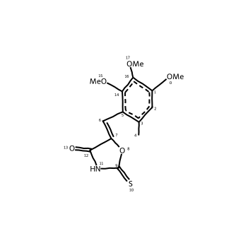 COc1cc(C)c(C=C2OC(=S)NC2=O)c(OC)c1OC